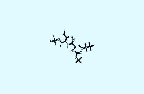 CCC(C)[C@H](N/C(=N\O)[C@H](CO[Si](C)(C)C(C)(C)C)NC(=O)OC(C)(C)C)[C@@H](C)OC(F)(F)F